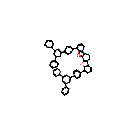 C1=CCC(C2=CC(c3ccc(C4=CC=CC5C6=C(OC45)c4oc5c(-c7ccc(C8=CC(c9ccccc9)=CC(c9ccccc9)C8)cc7)cccc5c4CC6)cc3)CC(c3ccccc3)=C2)C=C1